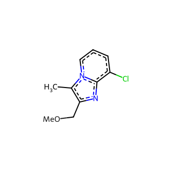 COCc1nc2c(Cl)cccn2c1C